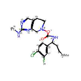 CNCCC(NC(=O)ON1CCc2cnc(NC(C)C)nc2C1)c1ccc(Cl)c(F)c1